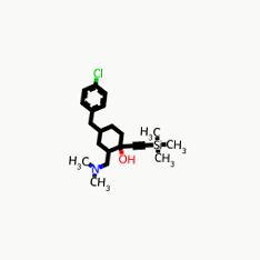 CN(C)CC1CC(Cc2ccc(Cl)cc2)CCC1(O)C#C[Si](C)(C)C